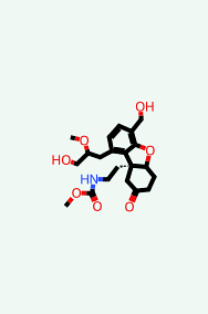 COC(=O)NCC[C@@]12CC(=O)CCC1Oc1c(CO)ccc(CC(CO)OC)c12